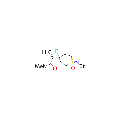 C=C(C(=O)NC)C1(F)CCS(=O)(=NCC)CC1